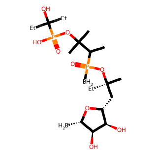 B[C@@H]1O[C@H](C[C@@](C)(CC)OP(B)(=O)C(C)C(C)(C)OP(=O)(O)C(O)(CC)CC)[C@@H](O)[C@H]1O